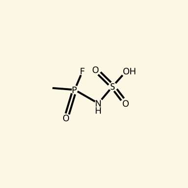 CP(=O)(F)NS(=O)(=O)O